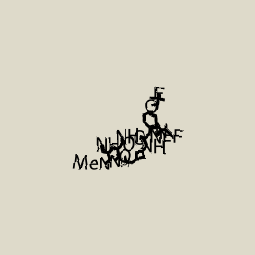 CNc1nc(O[C@@H](C)CC2CC(NC(=O)c3nn(CC(F)F)c4cc(OCC(C)(C)F)ccc34)C2)c(C(N)=O)cc1C=N